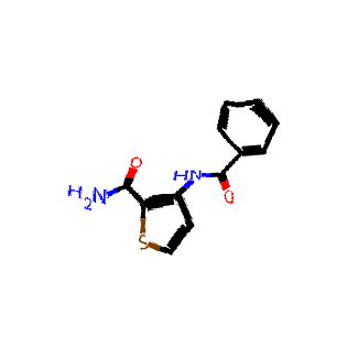 NC(=O)c1sccc1NC(=O)c1ccccc1